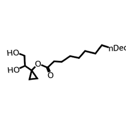 CCCCCCCCCCCCCCCCCC(=O)OC1(C(O)CO)CC1